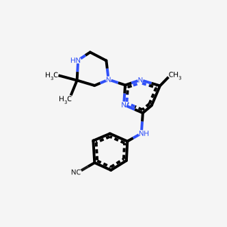 Cc1cc(Nc2ccc(C#N)cc2)nc(N2CCNC(C)(C)C2)n1